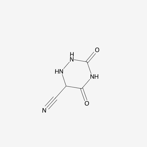 N#CC1NNC(=O)NC1=O